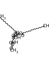 CCCCCCCCCCCCCCCCCC(=O)OC[C@H](COP(=O)(O)OCCNC(=O)OCCOC)OC(=O)CCCCCCCCCCCCCCCCC